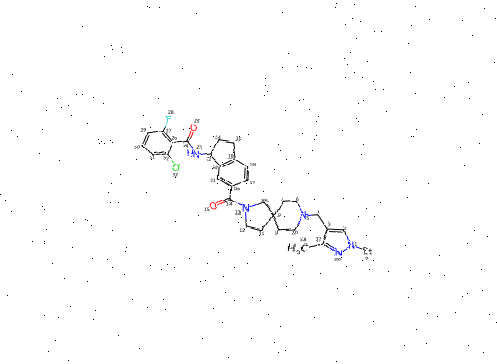 CCn1cc(CN2CCC3(CC2)CCN(C(=O)c2ccc4c(c2)C(NC(=O)c2c(F)cccc2Cl)CC4)C3)c(C)n1